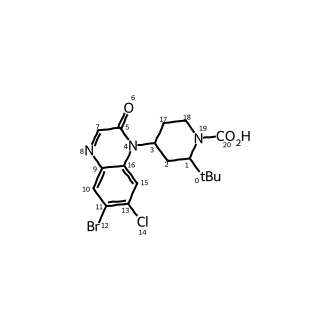 CC(C)(C)C1CC(n2c(=O)cnc3cc(Br)c(Cl)cc32)CCN1C(=O)O